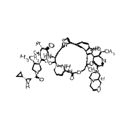 CCn1c(-c2cc(N3CCN4CCOC[C@@H]4C3)cnc2[C@H](C)OC)c2c3cc(ccc31)-c1csc(n1)C[C@H](NC(=O)[C@H](C(C)C)N(C)C(=O)[C@H]1CN(C(=O)[C@@H]3N[C@@H]3C3CC3)C[C@H]1C)C(=O)N1CCC[C@H](N1)C(=O)OCC(C)(C)C2